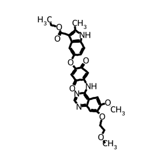 CCOC(=O)c1c(C)[nH]c2ccc(OC3=CC(=O)C(Nc4ncnc5cc(OCCOC)c(OC)cc45)=CC3=O)cc12